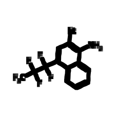 CCc1cc(C(F)(F)C(F)(F)C(F)(F)F)c2ccccc2c1N